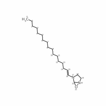 CCCCCCCCCCCCCCCC=CN1CCN2OC12